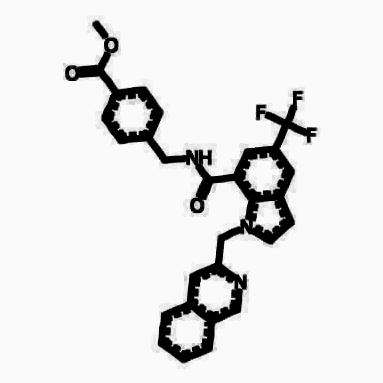 COC(=O)c1ccc(CNC(=O)c2cc(C(F)(F)F)cc3ccn(Cc4cc5ccccc5cn4)c23)cc1